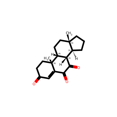 C[C@@]12CCC[C@H]1[C@@H]1C(=O)C(=O)C3=CC(=O)CC[C@]3(C)[C@@H]1CC2